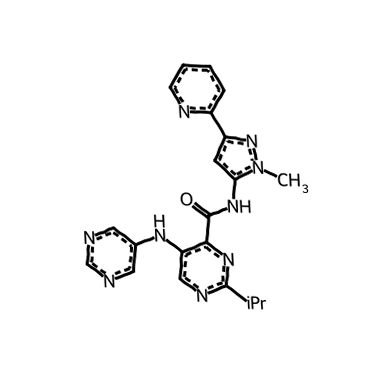 CC(C)c1ncc(Nc2cncnc2)c(C(=O)Nc2cc(-c3ccccn3)nn2C)n1